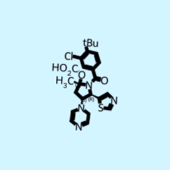 CC(C)(C)c1ccc(C(=O)N2[C@@H](c3cncs3)[C@@H](N3C=CN=CC3)C[C@]2(C)OC(=O)O)cc1Cl